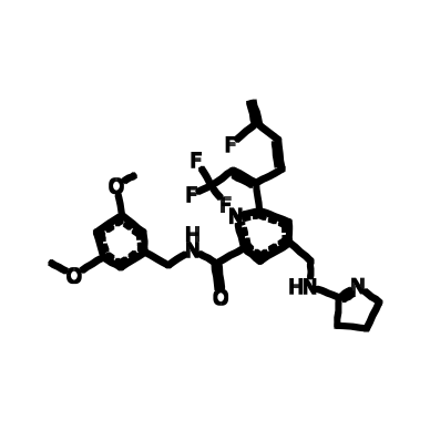 C=C(F)/C=C\C(=C\C(F)(F)F)c1cc(CNC2=NCCC2)cc(C(=O)NCc2cc(OC)cc(OC)c2)n1